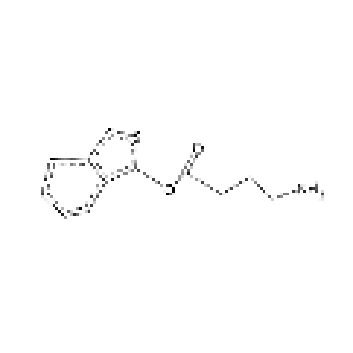 NCCCC(=O)Oc1scc2ccccc12